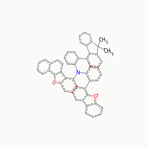 CC1(C)c2ccccc2-c2c(-c3ccccc3N(c3ccccc3-c3cccc4c3oc3ccccc34)c3cccc4oc5c6ccccc6ccc5c34)cccc21